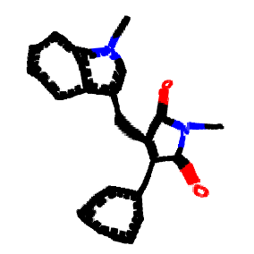 CN1C(=O)C(Cc2cn(C)c3ccccc23)=C(c2ccccc2)C1=O